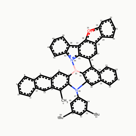 Cc1c2c(cc3cc4ccccc4cc13)B1c3c(cc4ccccc4c3-c3cc4c5ccccc5oc4c4c5ccccc5n1c34)N2c1cc(C(C)(C)C)cc(C(C)(C)C)c1